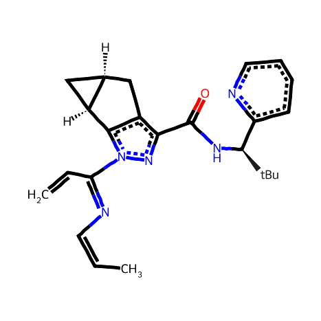 C=C/C(=N\C=C/C)n1nc(C(=O)N[C@@H](c2ccccn2)C(C)(C)C)c2c1[C@H]1C[C@H]1C2